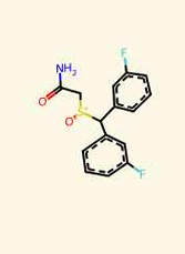 NC(=O)C[S+]([O-])C(c1cccc(F)c1)c1cccc(F)c1